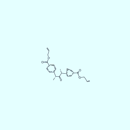 C=CCOC(=O)c1ccc(C(C)C(=O)C(C)c2ccc(C(=O)OCC=C)cc2)cc1